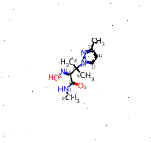 CNC(=O)C(=NO)C(C)(C)n1ccc(C)n1